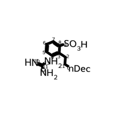 CCCCCCCCCCCCc1ccccc1S(=O)(=O)O.N=C(N)N